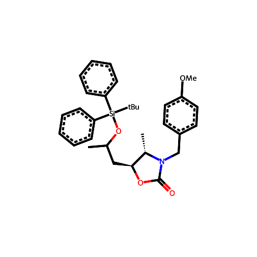 COc1ccc(CN2C(=O)O[C@@H](CC(C)O[Si](c3ccccc3)(c3ccccc3)C(C)(C)C)[C@@H]2C)cc1